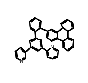 C1=CC2c3ccccc3-c3ccc(-c4ccccc4-c4cc(-c5cccnc5)cc(-c5ccccn5)c4)cc3C2C=C1